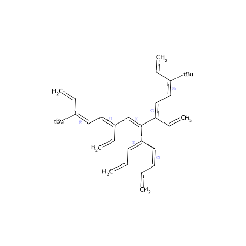 C=C\C=C/C(=C\C=C)C(=C\C(C=C)=C\C=C(/C=C)C(C)(C)C)/C(C=C)=C/C=C(\C=C)C(C)(C)C